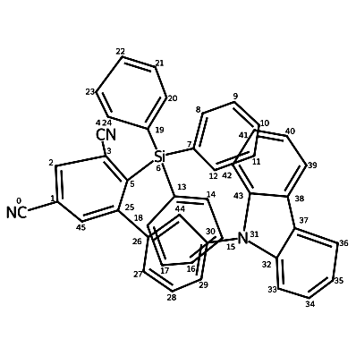 N#Cc1cc(C#N)c([Si](c2ccccc2)(c2ccccc2)c2ccccc2)c(-c2cccc(-n3c4ccccc4c4ccccc43)c2)c1